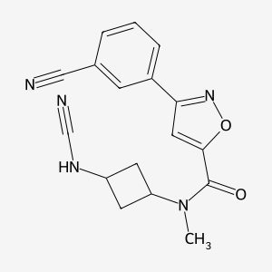 CN(C(=O)c1cc(-c2cccc(C#N)c2)no1)C1CC(NC#N)C1